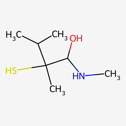 CNC(O)C(C)(S)C(C)C